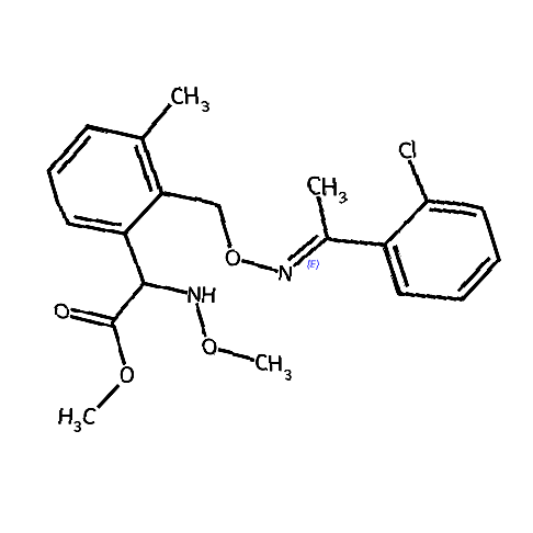 CONC(C(=O)OC)c1cccc(C)c1CO/N=C(\C)c1ccccc1Cl